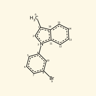 Cc1cn(-c2cccc(Br)c2)c2ccccc12